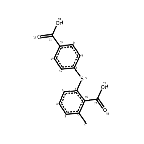 Cc1cccc(Sc2ccc(C(=O)O)cc2)c1C(=O)O